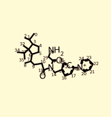 CC(C)C1CCC(C(C)CCC(=O)N(Cc2ccc(-[n+]3ccccc3)cc2)C(=O)CN)C1(C)C(C)C